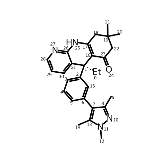 CC[C@@]1(c2cccc(-c3c(C)nn(C)c3C)c2)C2=C(CC(C)(C)CC2=O)Nc2ncccc21